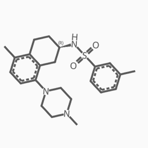 Cc1cccc(S(=O)(=O)N[C@@H]2CCc3c(C)ccc(N4CCN(C)CC4)c3C2)c1